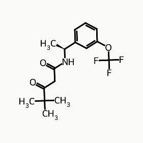 C[C@H](NC(=O)CC(=O)C(C)(C)C)c1cccc(OC(F)(F)F)c1